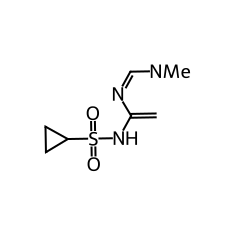 C=C(/N=C\NC)NS(=O)(=O)C1CC1